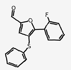 O=Cc1cc(Sc2ccccc2)c(-c2ccccc2F)o1